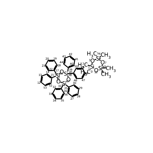 C[Si]1(C)O[Si](C)(C)O[Si](C)(C)O1.c1ccc([Si]2(c3ccccc3)O[Si](c3ccccc3)(c3ccccc3)O[Si](c3ccccc3)(c3ccccc3)O2)cc1